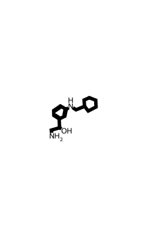 NCC(O)c1cccc(NCC2CCCCC2)c1